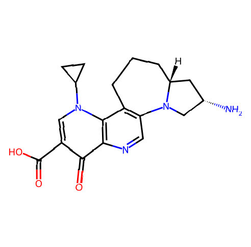 N[C@H]1C[C@H]2CCCc3c(cnc4c(=O)c(C(=O)O)cn(C5CC5)c34)N2C1